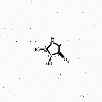 CCN1C(=O)CN[C@@H]1C(C)(C)C